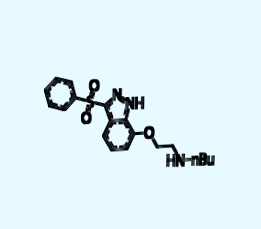 CCCCNCCOc1cccc2c(S(=O)(=O)c3ccccc3)n[nH]c12